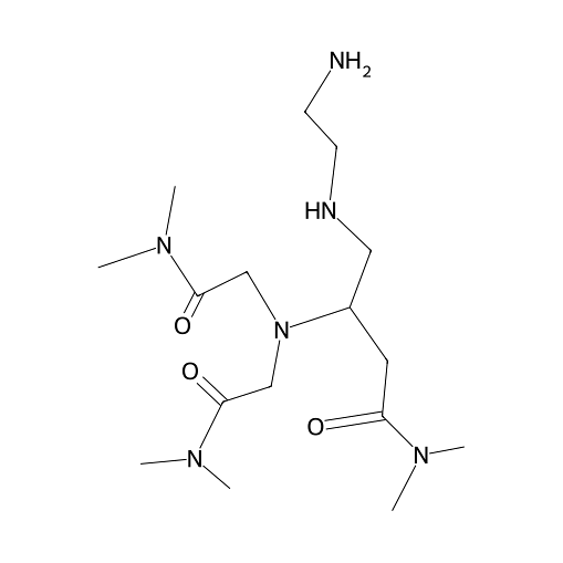 CN(C)C(=O)CC(CNCCN)N(CC(=O)N(C)C)CC(=O)N(C)C